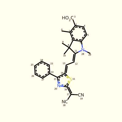 Cc1c(C(=O)O)ccc2c1C(C)(C)C(=CC=c1sc(=C(C#N)C#N)nc1-c1ccccc1)N2C